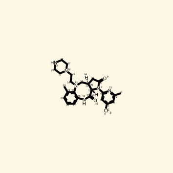 Cc1cc(C(F)(F)F)cc(N2C(=O)C[C@@H]3CN(CCN4CCNCC4)c4c(C)cccc4NC(=O)[C@H]32)n1